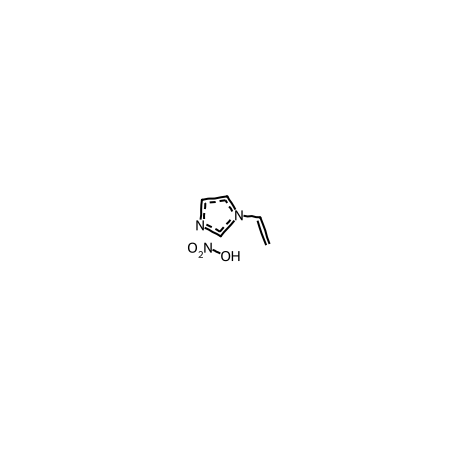 C=Cn1ccnc1.O=[N+]([O-])O